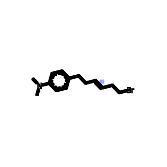 CN(C)c1ccc(CC/C=C/CCBr)cc1